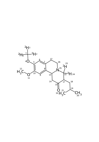 [2H]C([2H])([2H])Oc1cc2c(cc1OC)C1CC(=O)C(CC(C)C)C([2H])([2H])N1CC2